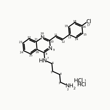 Cl.Cl.NCCCCNc1nc(C=Cc2ccc(Cl)cc2)nc2ccccc12